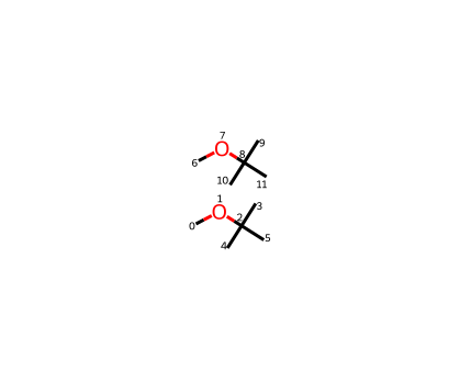 COC(C)(C)C.COC(C)(C)C